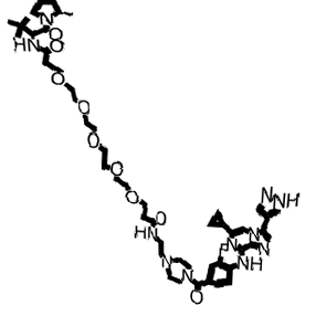 C[C@@H]1CCCN1C(=O)[C@@H](NC(=O)CCOCCOCCOCCOCCOCCC(=O)NCCN1CCN(C(=O)c2ccc(Nc3nc(C4CC4)cn4c(-c5cn[nH]c5)cnc34)c(F)c2)CC1)C(C)(C)C